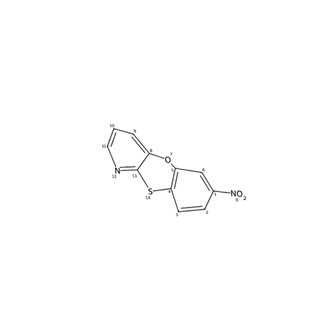 O=[N+]([O-])c1ccc2c(c1)Oc1cccnc1S2